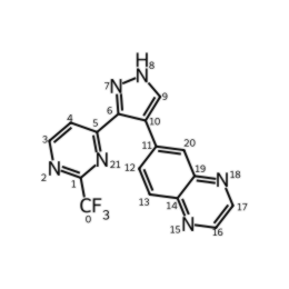 FC(F)(F)c1nccc(-c2n[nH]cc2-c2ccc3nccnc3c2)n1